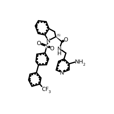 Nc1cnccc1CNC(=O)[C@@H]1Cc2ccccc2N1S(=O)(=O)c1ccc(-c2cccc(C(F)(F)F)c2)cc1